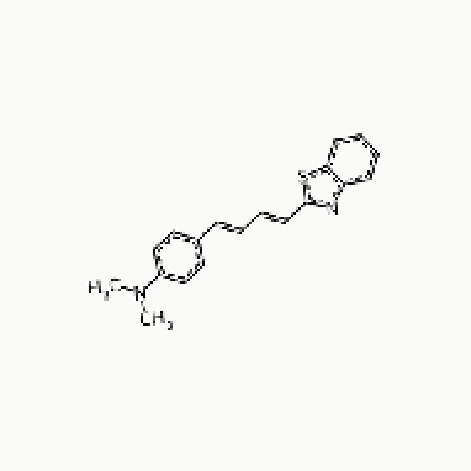 CN(C)c1ccc(C=CC=Cc2nc3ccccc3s2)cc1